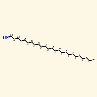 CCCCCCCCCCCCCCCCCCCCCCCCC[NH]